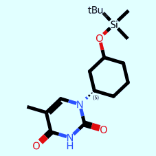 Cc1cn([C@H]2CCCC(O[Si](C)(C)C(C)(C)C)C2)c(=O)[nH]c1=O